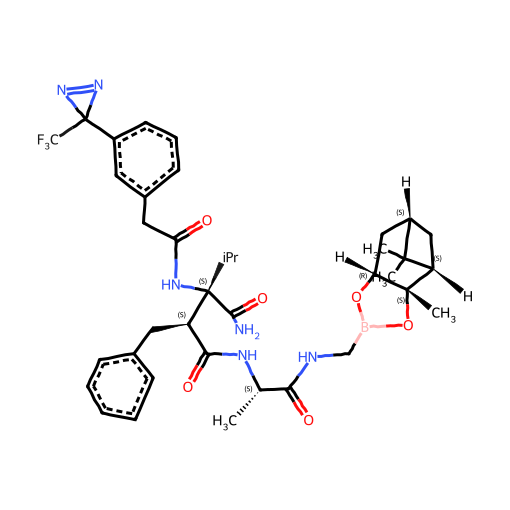 CC(C)[C@@](NC(=O)Cc1cccc(C2(C(F)(F)F)N=N2)c1)(C(N)=O)[C@H](Cc1ccccc1)C(=O)N[C@@H](C)C(=O)NCB1O[C@@H]2C[C@@H]3C[C@@H](C3(C)C)[C@]2(C)O1